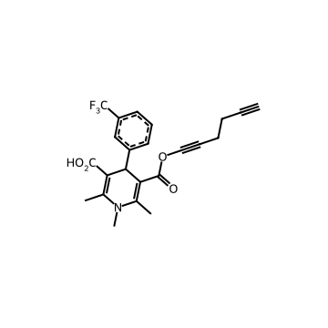 C#CCCC#COC(=O)C1=C(C)N(C)C(C)=C(C(=O)O)C1c1cccc(C(F)(F)F)c1